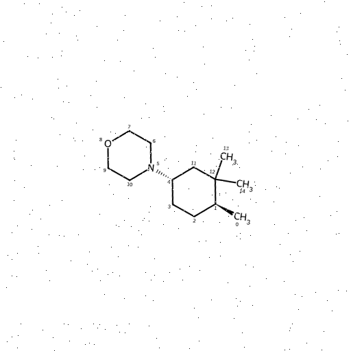 C[C@H]1CC[C@H](N2CCOCC2)CC1(C)C